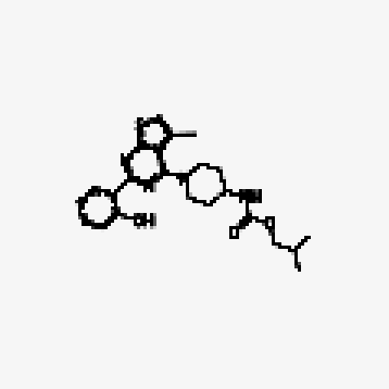 Cc1csc2nc(-c3ccccc3O)nc(N3CCC(NC(=O)OCC(C)C)CC3)c12